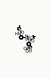 CC1CCN(C(=O)Nc2cccc(-c3nnc(N(C(=O)OC(C)(C)C)c4ccc5c(cnn5C(=O)O)c4)s3)c2)C1